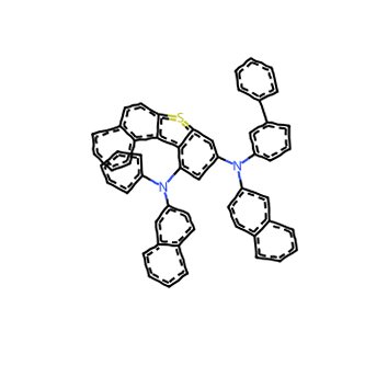 c1ccc(-c2cccc(N(c3ccc4ccccc4c3)c3cc(N(c4ccccc4)c4ccc5ccccc5c4)c4c(c3)sc3ccc5ccccc5c34)c2)cc1